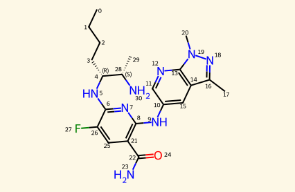 CCCC[C@@H](Nc1nc(Nc2cnc3c(c2)c(C)nn3C)c(C(N)=O)cc1F)[C@H](C)N